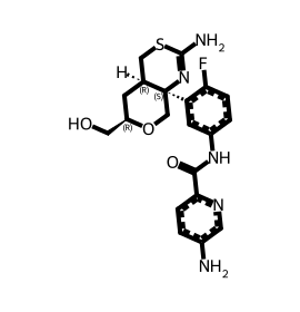 NC1=N[C@@]2(c3cc(NC(=O)c4ccc(N)cn4)ccc3F)CO[C@@H](CO)C[C@H]2CS1